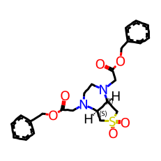 O=C(CN1CCN(CC(=O)OCc2ccccc2)[C@H]2CS(=O)(=O)C[C@H]21)OCc1ccccc1